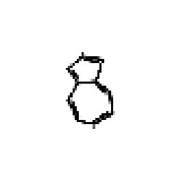 [c]1ccc2c[c]cc-2cc1